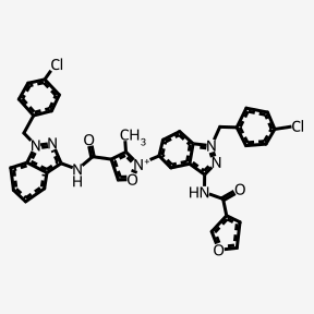 Cc1c(C(=O)Nc2nn(Cc3ccc(Cl)cc3)c3ccccc23)co[n+]1-c1ccc2c(c1)c(NC(=O)c1ccoc1)nn2Cc1ccc(Cl)cc1